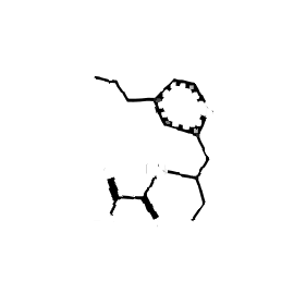 CCCc1ccnc(CC(CC)NC(=O)C(=O)O)c1